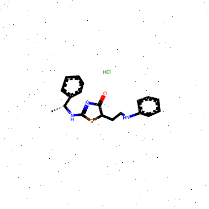 C[C@@H](NC1=NC(=O)C(CCNc2ccccc2)S1)c1ccccc1.Cl